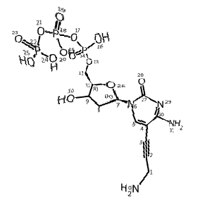 NCC#Cc1cn([C@H]2CC(O)[C@@H](COP(=O)(O)OP(=O)(O)OP(=O)(O)O)O2)c(=O)nc1N